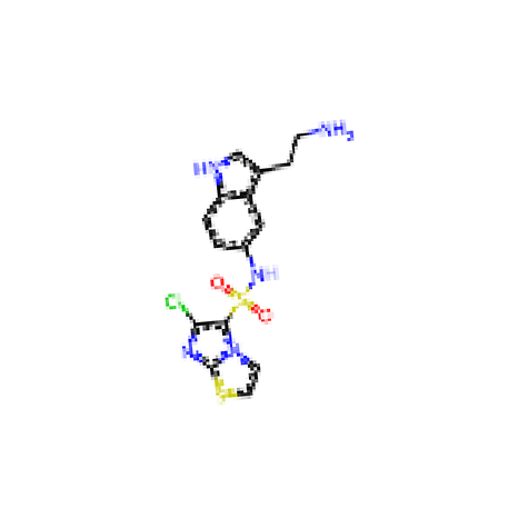 NCCc1c[nH]c2ccc(NS(=O)(=O)c3c(Cl)nc4sccn34)cc12